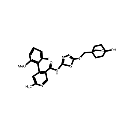 COc1cccc(F)c1-c1cc(C)ncc1C(=O)Nc1nnc(SCC23CCC(O)(CC2)CC3)s1